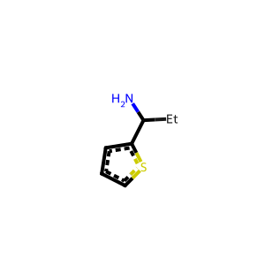 CCC(N)c1cccs1